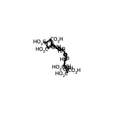 O=C(O)CCC(NC(=O)NC(CCCCNC(=O)c1ccc(CNC(=O)c2ccc(CNC(=O)CN3CCN(CC(=O)O)CCN(CC(=O)O)CCN(CC(=O)O)CC3)cc2)cc1)C(=O)O)C(=O)O